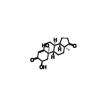 C[C@]12CC[C@H]3[C@@H](CCC4=CC(=O)[C@H](O)C[C@@]43CO)[C@@H]1CCC2=O